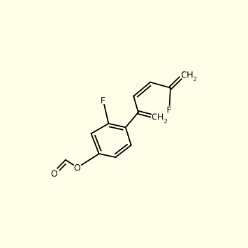 C=C(F)/C=C\C(=C)c1ccc(OC=O)cc1F